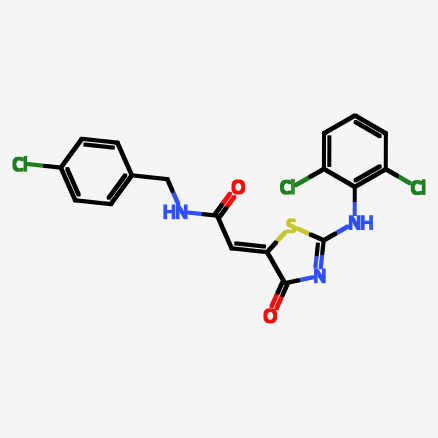 O=C(C=C1SC(Nc2c(Cl)cccc2Cl)=NC1=O)NCc1ccc(Cl)cc1